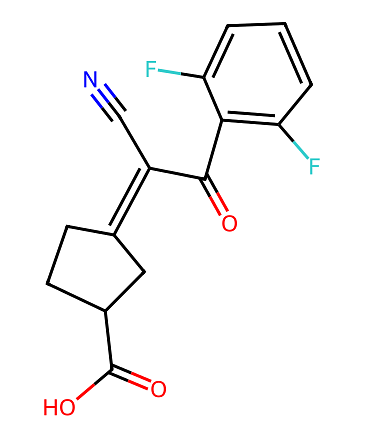 N#C/C(C(=O)c1c(F)cccc1F)=C1\CCC(C(=O)O)C1